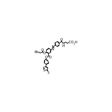 CCC(C)CC(=O)Oc1ccc(/N=N/c2ccc(C(=O)NCCC(=O)O)cc2)cc1C(=O)Oc1ccc(-c2cc(=S)ss2)cc1